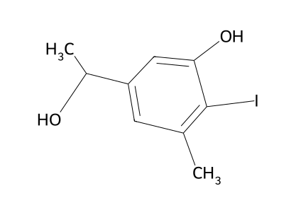 Cc1cc(C(C)O)cc(O)c1I